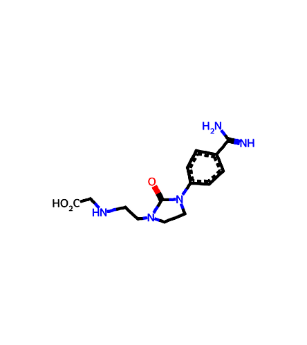 N=C(N)c1ccc(N2CCN(CCNCC(=O)O)C2=O)cc1